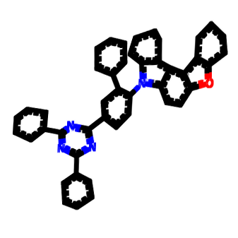 c1ccc(-c2nc(-c3ccccc3)nc(-c3ccc(-n4c5ccccc5c5c6c(ccc54)oc4ccccc46)c(-c4ccccc4)c3)n2)cc1